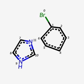 Brc1ccccc1.c1c[nH]cn1